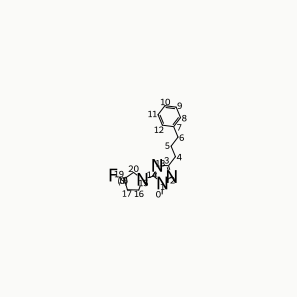 Cn1nc(CCCc2ccccc2)nc1N1CC[C@H](F)C1